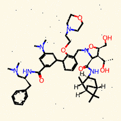 C[C@@H]1[C@@H](NC(=O)[C@@H]2[C@H]([C@H](C)O)[C@H](CO)ON2CC2=C(OCCN3CCOCC3)C(C3C=C(C(=O)N[C@@H](Cc4ccccc4)CN(C)C)C=C(N(C)C)C3)CC=C2)C[C@H]2C[C@@H]1C2(C)C